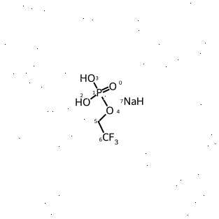 O=P(O)(O)OCC(F)(F)F.[NaH]